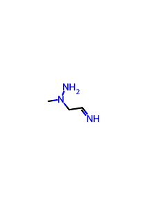 CN(N)CC=N